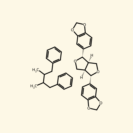 CC(Cc1ccccc1)C(C)Cc1ccccc1.c1cc2c(cc1[C@H]1OC[C@H]3[C@@H]1CO[C@@H]3c1ccc3c(c1)OCO3)OCO2